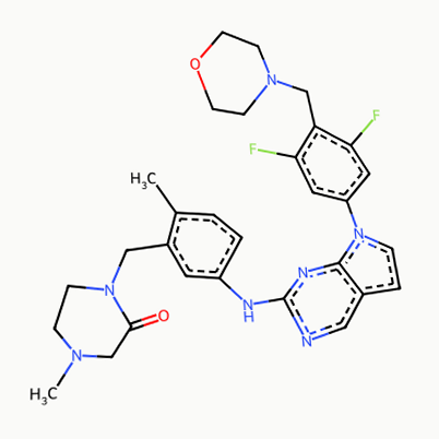 Cc1ccc(Nc2ncc3ccn(-c4cc(F)c(CN5CCOCC5)c(F)c4)c3n2)cc1CN1CCN(C)CC1=O